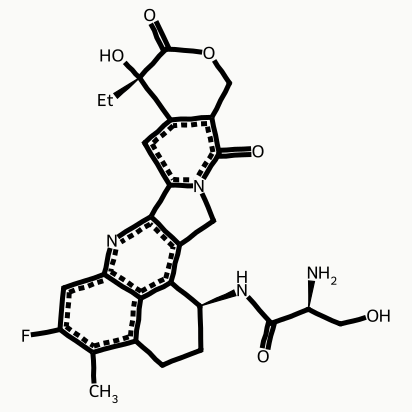 CC[C@@]1(O)C(=O)OCc2c1cc1n(c2=O)Cc2c-1nc1cc(F)c(C)c3c1c2[C@@H](NC(=O)[C@@H](N)CO)CC3